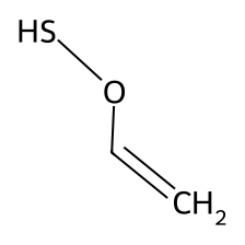 C=COS